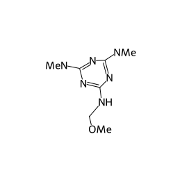 CNc1nc(NC)nc(NCOC)n1